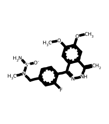 C=C1NN=C(c2ccc(CN(C)[S+](N)[O-])cc2F)c2cc(OC)c(OC)cc21